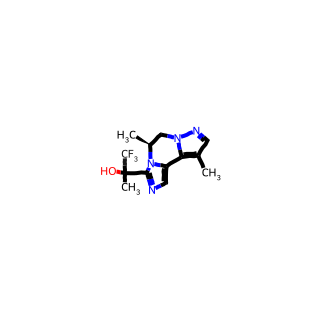 Cc1cnn2c1-c1cnc(C(C)(O)C(F)(F)F)n1[C@@H](C)C2